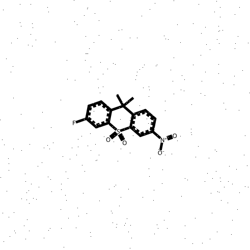 CC1(C)c2ccc(F)cc2S(=O)(=O)c2cc([N+](=O)[O-])ccc21